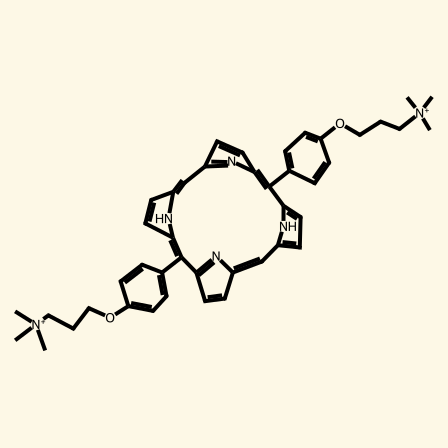 C[N+](C)(C)CCCOc1ccc(-c2c3nc(cc4ccc([nH]4)c(-c4ccc(OCCC[N+](C)(C)C)cc4)c4nc(cc5ccc2[nH]5)C=C4)C=C3)cc1